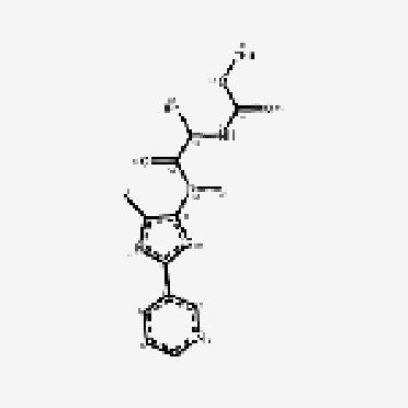 Cc1nc(-c2cccnc2)sc1N(C)C(=O)C(NC(=O)OC(C)(C)C)C(C)C